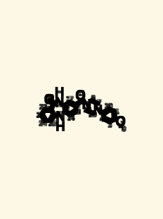 COc1ccc(N2CCN(C(=O)c3ccc4c(c3)NC(=O)c3ccccc3N4)CC2)cc1